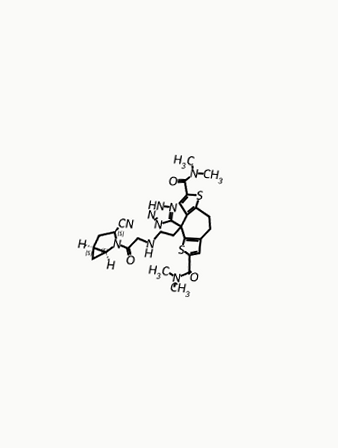 CN(C)C(=O)c1cc2c(s1)CCc1cc(C(=O)N(C)C)sc1C2(CCNCC(=O)N1[C@H](C#N)C[C@@H]2C[C@@H]21)c1nn[nH]n1